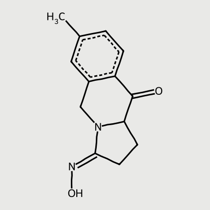 Cc1ccc2c(c1)CN1C(=NO)CCC1C2=O